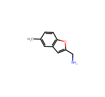 Cc1ccc2oc(CN)cc2c1